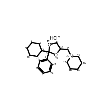 Cl.c1ccc(C2(C3CCCCC3)OCC(CN3CCCCC3)O2)cc1